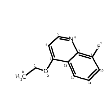 CCOc1ccnc2c(F)cccc12